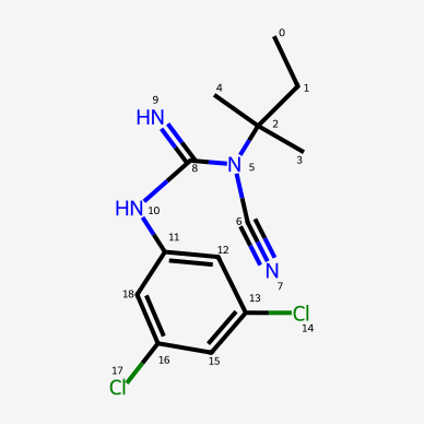 CCC(C)(C)N(C#N)C(=N)Nc1cc(Cl)cc(Cl)c1